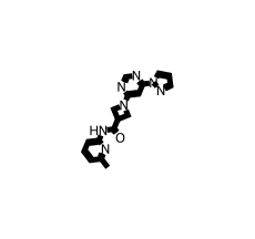 Cc1cccc(NC(=O)C2CN(c3cc(-n4cccn4)ncn3)C2)n1